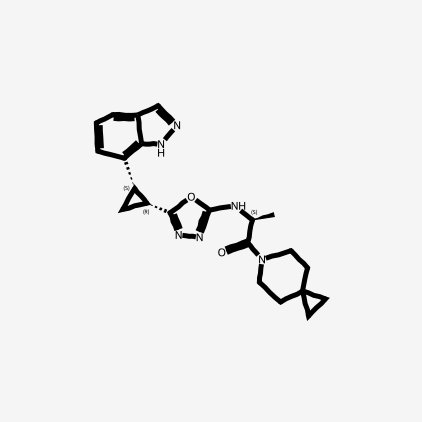 C[C@H](Nc1nnc([C@@H]2C[C@@H]2c2cccc3cn[nH]c23)o1)C(=O)N1CCC2(CC1)CC2